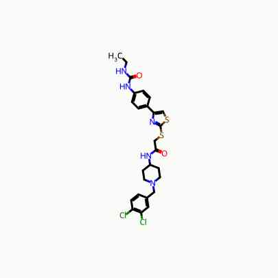 CCNC(=O)Nc1ccc(-c2csc(SCC(=O)NC3CCN(Cc4ccc(Cl)c(Cl)c4)CC3)n2)cc1